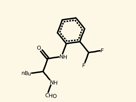 CCCCC(NC=O)C(=O)Nc1ccccc1C(F)F